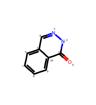 O=C1[N]N=[C]c2ccccc21